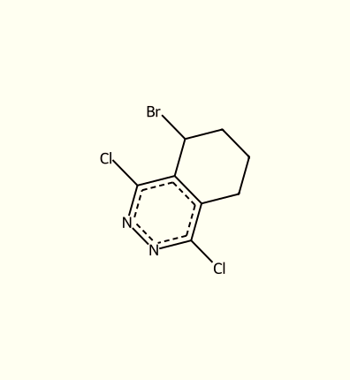 Clc1nnc(Cl)c2c1CCCC2Br